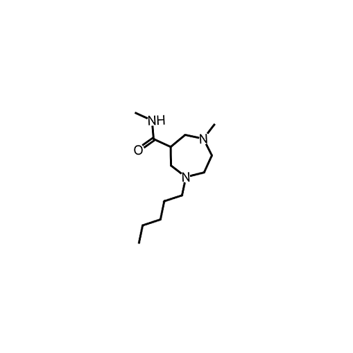 CCCCCN1CCN(C)CC(C(=O)NC)C1